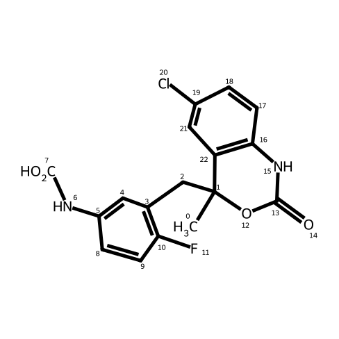 CC1(Cc2cc(NC(=O)O)ccc2F)OC(=O)Nc2ccc(Cl)cc21